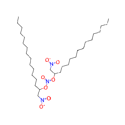 CCCCCCCCCCCCCCC(C[N+](=O)[O-])O[N+](=O)OC(CCCCCCCCCCCCCC)C[N+](=O)[O-]